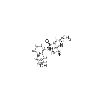 Cn1cc(C(=O)Nc2cccc3c2C2CCC3C2O)c(C(F)F)n1